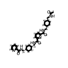 CC(=O)NC[C@H]1CC[C@@H](CNC(=O)c2cccc(C(=O)NC[C@H]3CC[C@@H](CNC(=O)c4ccccn4)CC3)n2)CC1